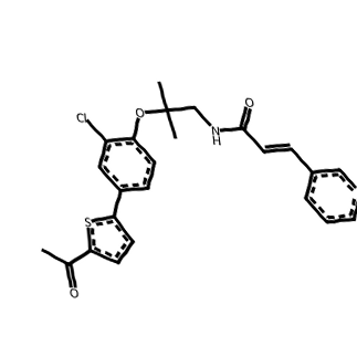 CC(=O)c1ccc(-c2ccc(OC(C)(C)CNC(=O)C=Cc3cccnc3)c(Cl)c2)s1